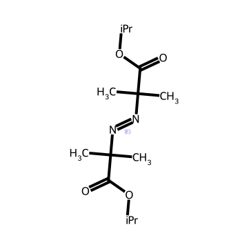 CC(C)OC(=O)C(C)(C)/N=N/C(C)(C)C(=O)OC(C)C